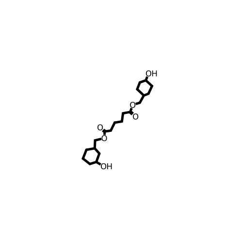 O=C(CCCCC(=O)OCC1CCCC(O)C1)OCC1CCC(O)CC1